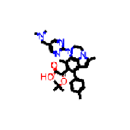 Cc1ccc(-c2c([C@H](OC(C)(C)C)C(=O)O)c(C)c3c4c2cc(C)n4CCN3c2ncc(CN(C)C)cn2)cc1